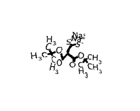 CC(C)(C)OC(=O)C(C(=O)OC(C)(C)C)=C([S-])[S-].[Na+].[Na+]